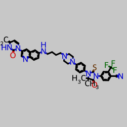 C=C1C=CN(c2cnc3ccc(NCCCCN4CCN(c5ccc(N6C(=S)N(c7ccc(C#N)c(C(F)(F)F)c7)C(=O)C6(C)C)cc5)CC4)cc3c2)C(=O)N1